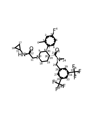 Cc1cc(F)ccc1[C@@H]1CN(CC(=O)NC2CC2)CC[C@H]1C(=O)N(C)Cc1cc(C(F)(F)F)cc(C(F)(F)F)c1